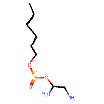 CCCCCCO[PH](=O)OC(N)CN